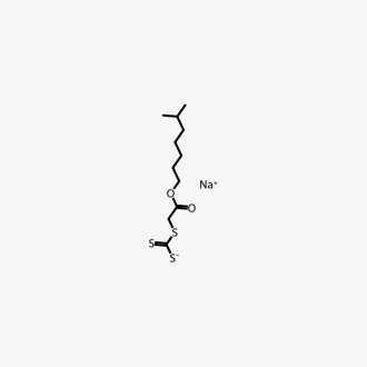 CC(C)CCCCCOC(=O)CSC(=S)[S-].[Na+]